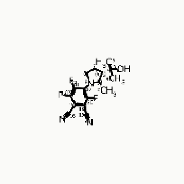 C[C@H]1[C@@H](C(C)(C)O)CCN1c1c(F)c(F)c(C#N)c(C#N)c1F